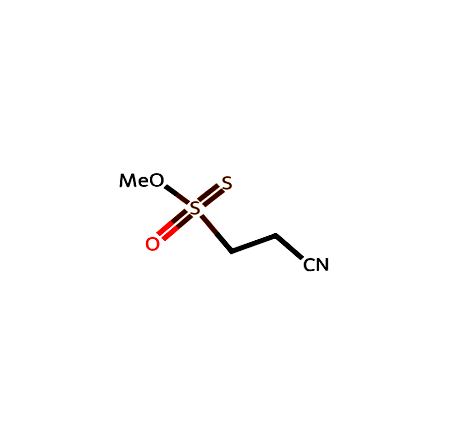 COS(=O)(=S)CCC#N